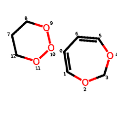 C1=COCOC=C1.C1COOOC1